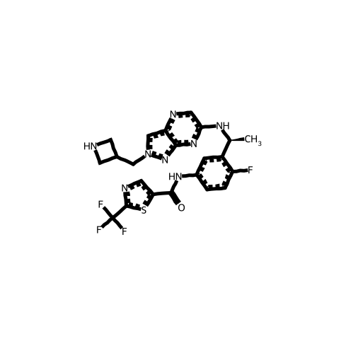 C[C@H](Nc1cnc2cn(CC3CNC3)nc2n1)c1cc(NC(=O)c2cnc(C(F)(F)F)s2)ccc1F